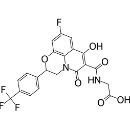 O=C(O)CNC(=O)c1c(O)c2cc(F)cc3c2n(c1=O)CC(c1ccc(C(F)(F)F)cc1)O3